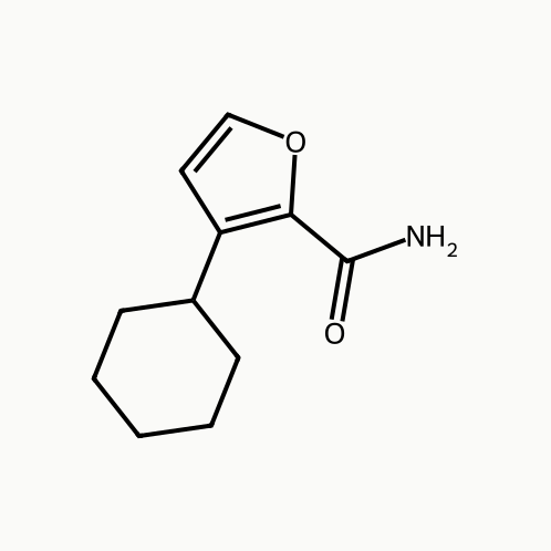 NC(=O)c1occc1C1CCCCC1